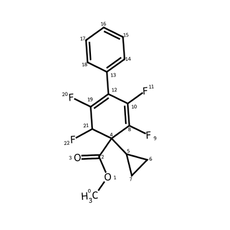 COC(=O)C1(C2CC2)C(F)=C(F)C(c2ccccc2)=C(F)C1F